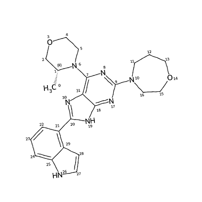 C[C@@H]1COCCN1c1nc(N2CCCOCC2)nc2[nH]c(-c3cccc4[nH]ccc34)nc12